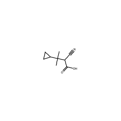 CC(C)(C1CC1)C(C#N)C(=O)O